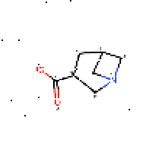 O=C(O)C1CC2CN(C2)C1